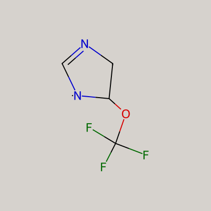 FC(F)(F)OC1CN=C[N]1